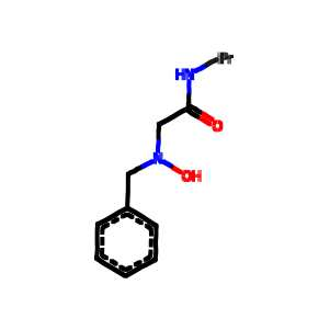 CC(C)NC(=O)CN(O)Cc1ccccc1